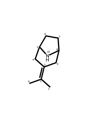 CC(C)=C1CC2CCC(C1)N2